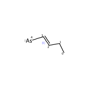 CC/C=C/[As]